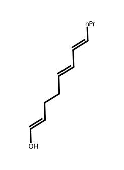 CCCC=CC=CCCC=CO